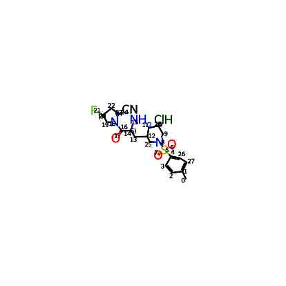 Cc1ccc(S(=O)(=O)N2CCCC(C[C@H](N)C(=O)N3C[C@@H](F)C[C@H]3C#N)C2)cc1.Cl